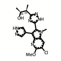 COc1nc2c(-c3cn[nH]c3)c(-c3nc([C@H](C)[C@H](C)O)n[nH]3)n(C)c2cc1Cl